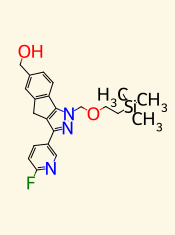 C[Si](C)(C)CCOCn1nc(-c2ccc(F)nc2)c2c1-c1ccc(CO)cc1C2